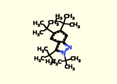 CC(C)(C)c1cc2nn(C(C)(C)C)c(C(C)(C)C)c2cc1C(C)(C)C